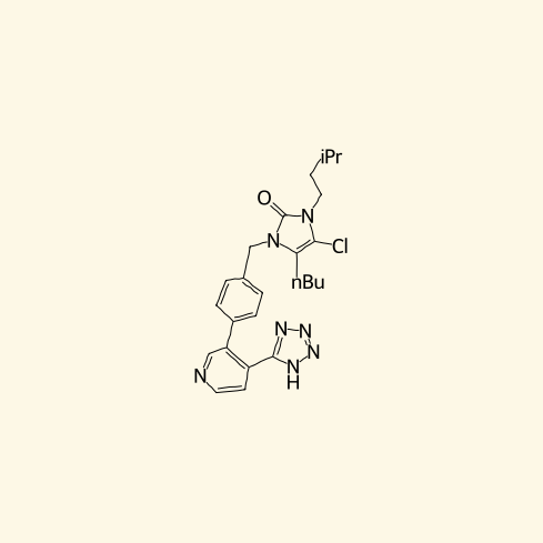 CCCCc1c(Cl)n(CCC(C)C)c(=O)n1Cc1ccc(-c2cnccc2-c2nnn[nH]2)cc1